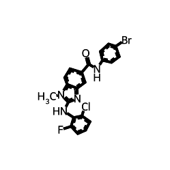 Cn1c(Nc2c(F)cccc2Cl)nc2cc(C(=O)Nc3ccc(Br)cc3)ccc21